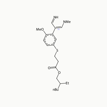 CCCCC(CC)COC(=O)CCSc1ccc(OC)c(/C(C=N)=C/NC)c1